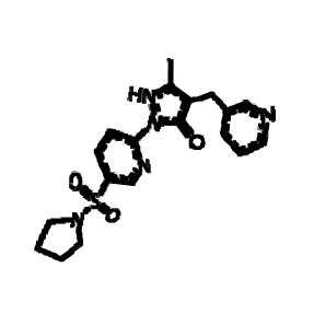 Cc1[nH]n(-c2ccc(S(=O)(=O)N3CCCC3)cn2)c(=O)c1Cc1cccnc1